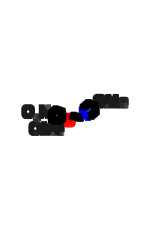 COc1cc([N+](=O)[O-])ccc1OCCN1CCC(OC)CC1